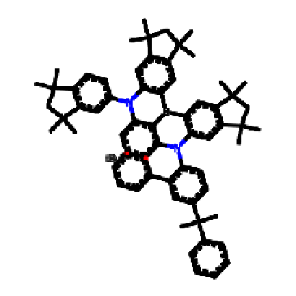 CC(C)(C)c1cc2c3c(c1)N(c1ccc(C(C)(C)c4ccccc4)cc1-c1ccccc1)c1cc4c(cc1B3c1cc3c(cc1N2c1ccc2c(c1)C(C)(C)CC2(C)C)C(C)(C)CC3(C)C)C(C)(C)CC4(C)C